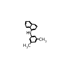 Cc1cc(C)cc(N(I)c2cccc3ccccc23)c1